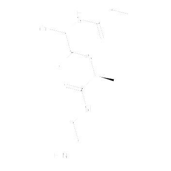 CC(C)C(NC(=O)CI)C(=O)N[C@@H](C)C(=O)NCCN